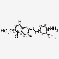 CC1CN(CCc2cc3[nH]cc(C(=O)O)c(=O)c3cc2F)CCN1N